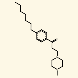 CCCCCCCc1ccc(C(=O)CCN2CCN(C)CC2)cc1